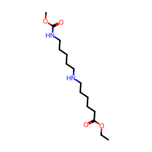 CCOC(=O)CCCCCNCCCCCNC(=O)OC